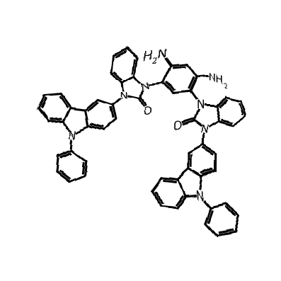 Nc1cc(N)c(-n2c(=O)n(-c3ccc4c(c3)c3ccccc3n4-c3ccccc3)c3ccccc32)cc1-n1c(=O)n(-c2ccc3c(c2)c2ccccc2n3-c2ccccc2)c2ccccc21